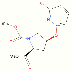 COC(=O)[C@@H]1C[C@H](Oc2cccc(Br)n2)CN1C(=O)OC(C)(C)C